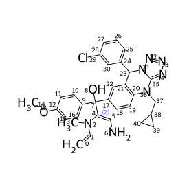 C=CN(C)/C(=C\N)C(O)(c1ccc(OC)cc1)c1ccc2c(c1)C(c1cccc(Cl)c1)n1nnnc1N2CC1CC1